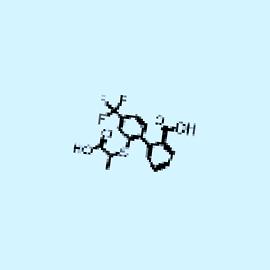 CC(Sc1cc(C(F)(F)F)ccc1-c1ccccc1C(=O)O)C(=O)O